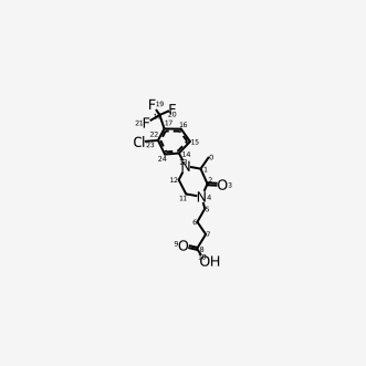 CC1C(=O)N(CCCC(=O)O)CCN1c1ccc(C(F)(F)F)c(Cl)c1